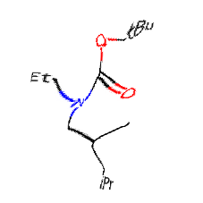 CCN(CC(C)C(C)C)C(=O)OC(C)(C)C